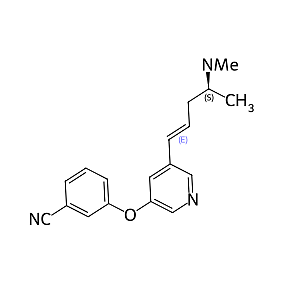 CN[C@@H](C)C/C=C/c1cncc(Oc2cccc(C#N)c2)c1